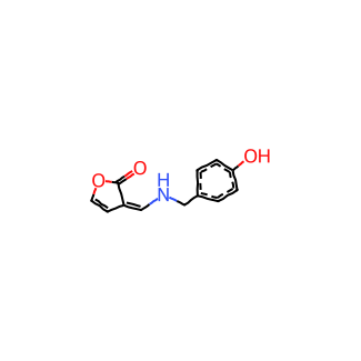 O=C1OC=CC1=CNCc1ccc(O)cc1